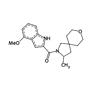 COc1cccc2[nH]c(C(=O)N3CC4(CCOCC4)CC3C)cc12